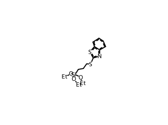 CCO[Si](CCCSc1nc2ccccc2s1)(OCC)OCC